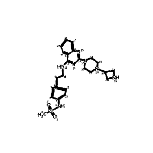 CS(=O)(=O)Nc1ccc(CCNc2nc(N3CCN(C4CNC4)CC3)nc3ccccc23)cc1